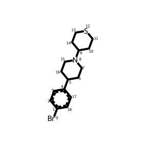 Brc1ccc(C2CCN(C3CCSCC3)CC2)cc1